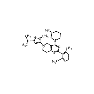 Cc1cccc(C)c1-c1nc2c(c(N3CCC[C@H](O)C3)n1)CN(c1cc(C(C)C)nn1C)CC2